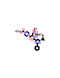 CCCCOC(=O)N1CCN(C(=O)C(CP(=O)(OCC)OCC)NC(=O)c2cc([C@H]3C[C@@H]3COC)nc(-c3ccccc3)n2)CC1